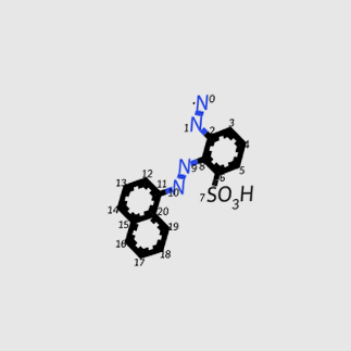 [N]=Nc1cccc(S(=O)(=O)O)c1N=Nc1cccc2ccccc12